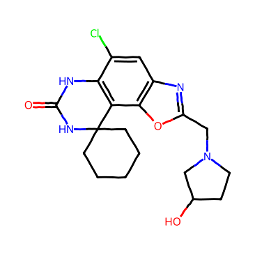 O=C1Nc2c(Cl)cc3nc(CN4CCC(O)C4)oc3c2C2(CCCCC2)N1